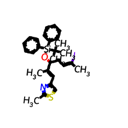 CC(I)=CCC(O[Si](c1ccccc1)(c1ccccc1)C(C)(C)C)C(C)=Cc1csc(C)n1